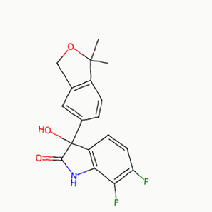 CC1(C)OCc2cc(C3(O)C(=O)Nc4c3ccc(F)c4F)ccc21